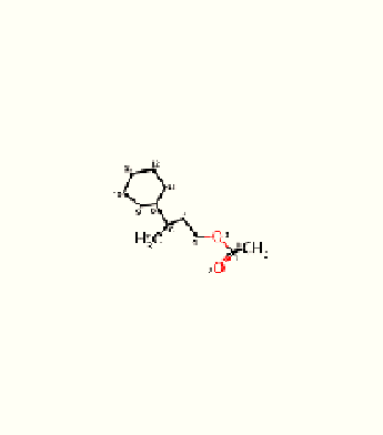 CC(=O)OCCC(C)C1CCCCC1